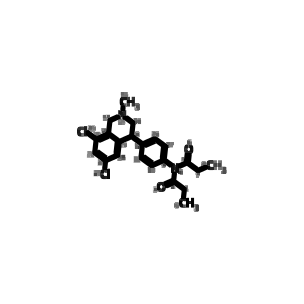 CCC(=O)N(C(=O)CC)c1ccc(C2CN(C)Cc3c(Cl)cc(Cl)cc32)cc1